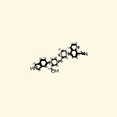 C[C@@H]1CN(c2ccc(C#N)c3ncccc23)C[C@@H](CN2CCN(c3ccc4c(c3)CNC4)[C@@H](CO)C2)O1